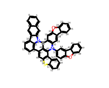 c1ccc2cc3c(cc2c1)c1cccc2c1n3B1c3cc4oc5ccccc5c4cc3N(c3ccc4oc5ccccc5c4c3)c3c1c-2cc1sc2ccccc2c31